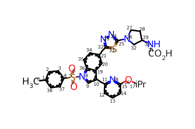 Cc1ccc(S(=O)(=O)n2cc(-c3cccc(OC(C)C)n3)c3cc(-c4nnc(N5CCC(NC(=O)O)C5)s4)ccc32)cc1